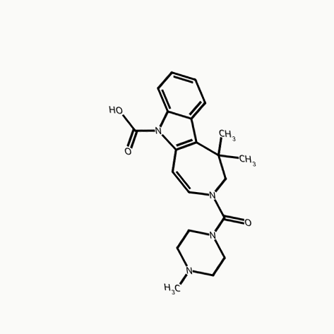 CN1CCN(C(=O)N2C=Cc3c(c4ccccc4n3C(=O)O)C(C)(C)C2)CC1